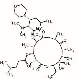 CC[C@H]1OC(=O)[C@H](C)[C@@H](OC(=O)CCN(C)C)[C@H](C)[C@@H](O[C@@H]2O[C@H](C)C[C@@H](N3CCOCC3)[C@@H]2N(C)C)[C@@](C)(OC)C[C@@H](C)C(=O)[C@H](C)[C@@H](O)[C@]1(C)O